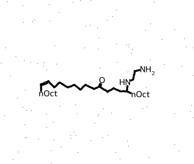 CCCCCCCC/C=C\CCCCCCCC(=O)CCCC(CCCCCCCC)NCCN